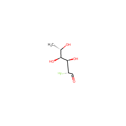 C[C@H](O)[C@H](O)[C@@H](O)[C@@H]([18F])C=O